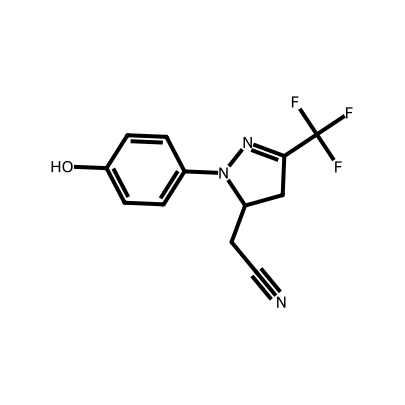 N#CCC1CC(C(F)(F)F)=NN1c1ccc(O)cc1